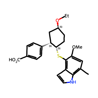 CCO[C@H]1CC[C@H](Sc2c(OC)cc(C)c3[nH]ccc23)[C@H](c2ccc(C(=O)O)cc2)C1